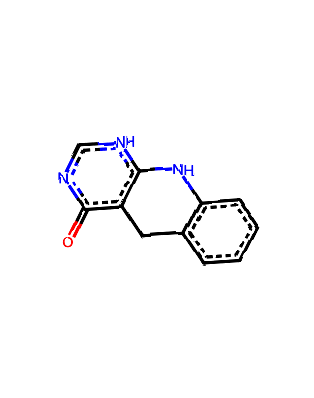 O=c1nc[nH]c2c1Cc1ccccc1N2